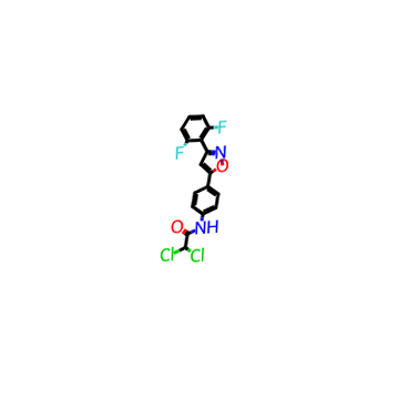 O=C(Nc1ccc(-c2cc(-c3c(F)cccc3F)no2)cc1)C(Cl)Cl